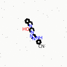 N#Cc1ccc(Nc2cc(N3CC[C@@H](N4CCc5ccccc5C4)[C@H](O)C3)ncn2)cc1